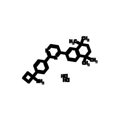 CC1(C)CCC(C)(C)c2cc(-c3ccnc(-c4ccc(C5(N)CCC5)cc4)n3)ccc21.Cl.Cl